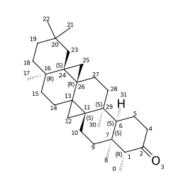 C[C@H]1C(=O)CC[C@H]2[C@]1(C)CC[C@@]13CC14CC[C@@]1(C)CCC(C)(C)C[C@]15C[C@@]45CC[C@@]23C